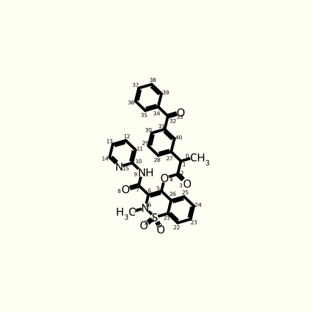 CC(C(=O)OC1=C(C(=O)Nc2ccccn2)N(C)S(=O)(=O)c2ccccc21)c1cccc(C(=O)c2ccccc2)c1